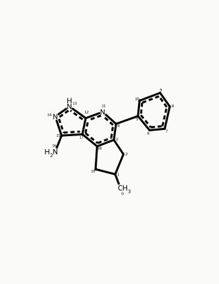 CC1Cc2c(-c3ccccc3)nc3[nH]nc(N)c3c2C1